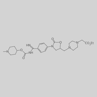 CCOC(=O)CN1CCN(CC2CN(c3ccc(C(=N)NC(=O)OC4CCN(C)CC4)cc3)C(=O)O2)CC1